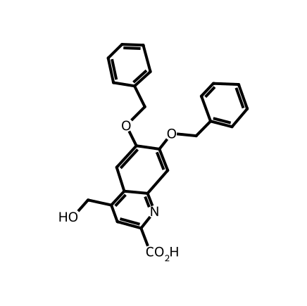 O=C(O)c1cc(CO)c2cc(OCc3ccccc3)c(OCc3ccccc3)cc2n1